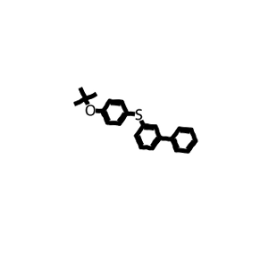 CC(C)(C)Oc1ccc(Sc2cccc(-c3ccccc3)c2)cc1